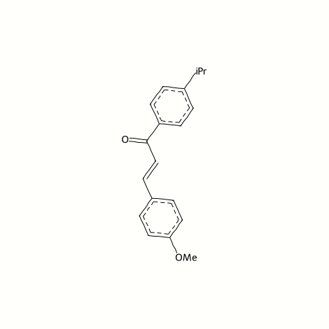 COc1ccc(/C=C/C(=O)c2ccc(C(C)C)cc2)cc1